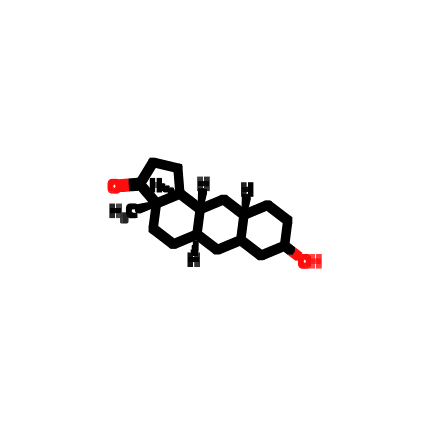 C[C@]12CC[C@@H]3CC4CC(O)CC[C@H]4C[C@H]3[C@@H]1CCC2=O